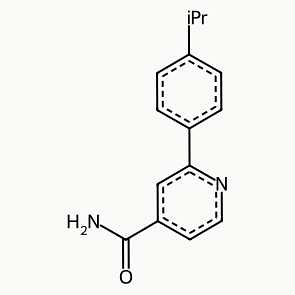 CC(C)c1ccc(-c2cc(C(N)=O)ccn2)cc1